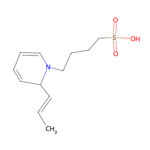 CC=CC1C=CC=CN1CCCCS(=O)(=O)O